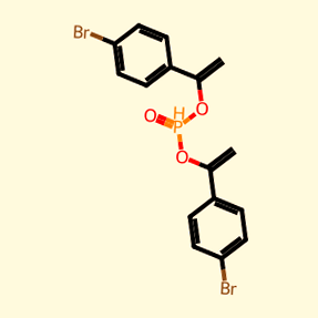 C=C(O[PH](=O)OC(=C)c1ccc(Br)cc1)c1ccc(Br)cc1